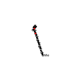 COCCOCCOCCOCCOCCOCCOCCOCCOC(=O)C1CC2C=CC1C2